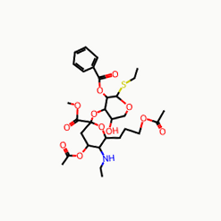 CCNC1C(OC(C)=O)CC(OC2C(O)COC(SCC)C2OC(=O)c2ccccc2)(C(=O)OC)OC1CCCOC(C)=O